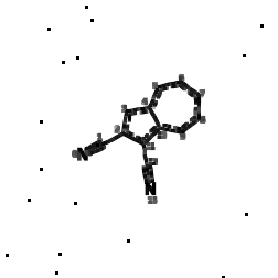 N#Cc1cc2cccccc-2c1C#N